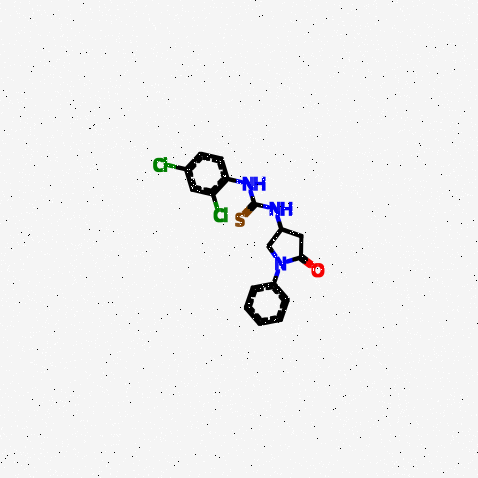 O=C1CC(NC(=S)Nc2ccc(Cl)cc2Cl)CN1c1ccccc1